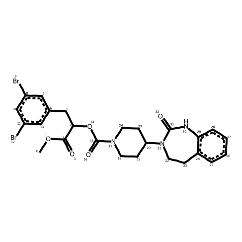 COC(=O)C(Cc1cc(Br)cc(Br)c1)OC(=O)N1CCC(N2CCc3ccccc3NC2=O)CC1